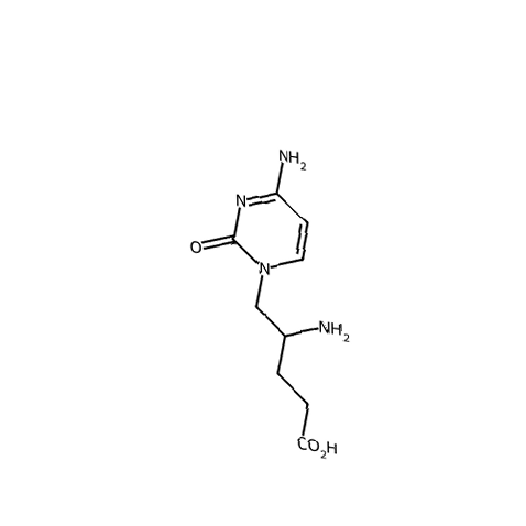 Nc1ccn(CC(N)CCC(=O)O)c(=O)n1